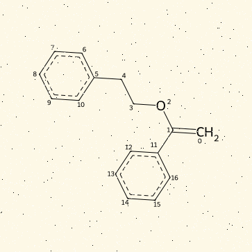 C=C(OCCc1ccccc1)c1ccccc1